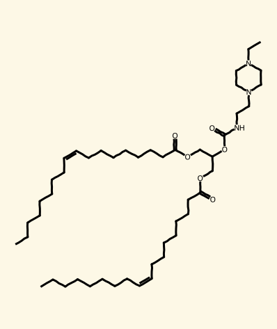 CCCCCCCC/C=C\CCCCCCCC(=O)OCC(COC(=O)CCCCCCC/C=C\CCCCCCCC)OC(=O)NCCN1CCN(CC)CC1